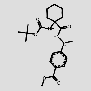 COC(=O)c1ccc([C@H](C)NC(=O)C2(NC(=O)OC(C)(C)C)CCCCC2)cc1